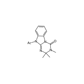 CC(=O)N1C2=NC(C)(C)N(C)C(=O)N2c2ccccc21